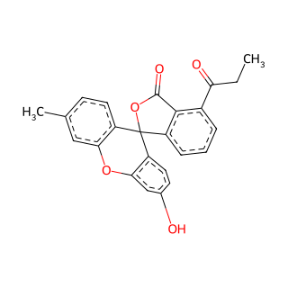 CCC(=O)c1cccc2c1C(=O)OC21c2ccc(C)cc2Oc2cc(O)ccc21